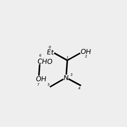 CCC(O)N(C)C.O=CO